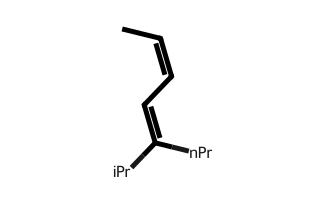 C/C=C\C=C(/CCC)C(C)C